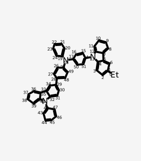 CCc1ccc2c(c1)c1ccccc1n2-c1ccc(N(c2ccccc2)c2ccc(-c3ccc4c(c3)c3ccccc3n4-c3ccccc3)cc2)cc1